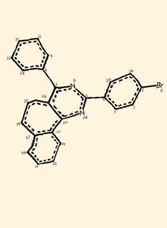 Brc1ccc(-c2nc(-c3ccccc3)c3ccc4ccccc4c3n2)cc1